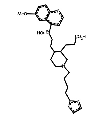 COc1ccc2nccc([C@@H](O)CCC3CCN(CCCCc4nccs4)CC3CCC(=O)O)c2c1